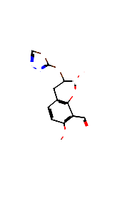 COc1ccc2c(c1C=O)OB(O)C(Sc1nncs1)C2